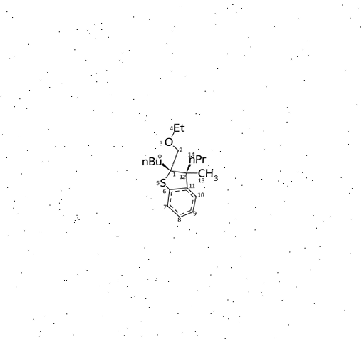 CCCC[C@]1(COCC)Sc2ccccc2[C@]1(C)CCC